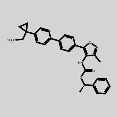 Cc1noc(-c2ccc(-c3ccc(C4(CC(=O)O)CC4)cc3)cc2)c1NC(=O)O[C@H](C)c1ccccc1